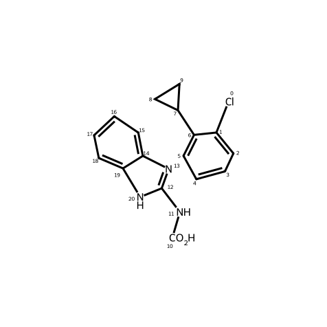 Clc1ccccc1C1CC1.O=C(O)Nc1nc2ccccc2[nH]1